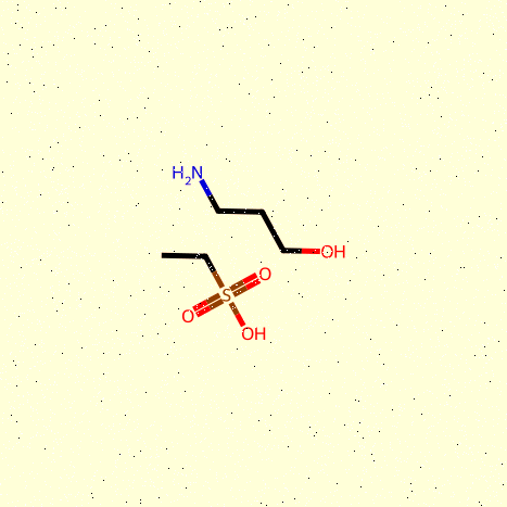 CCS(=O)(=O)O.NCCCO